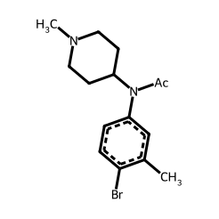 CC(=O)N(c1ccc(Br)c(C)c1)C1CCN(C)CC1